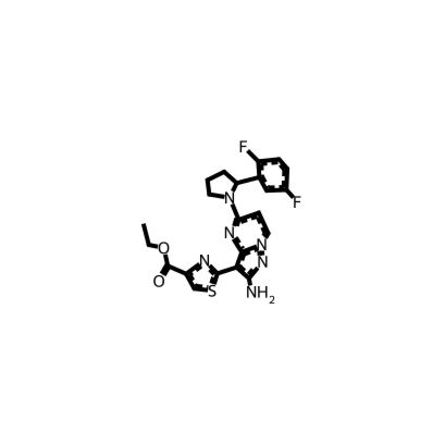 CCOC(=O)c1csc(-c2c(N)nn3ccc(N4CCCC4c4cc(F)ccc4F)nc23)n1